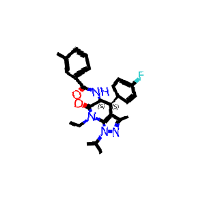 CCN1C(=O)[C@@H](NC(=O)c2cccc(C)c2)[C@@H](C2C=CC(F)=CC2)c2c(C)nn(C(C)C)c21